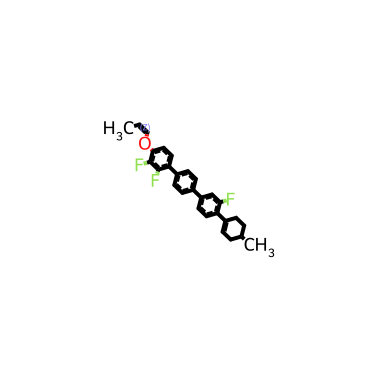 C/C=C\Oc1ccc(-c2ccc(-c3ccc(C4=CCC(C)CC4)c(F)c3)cc2)c(F)c1F